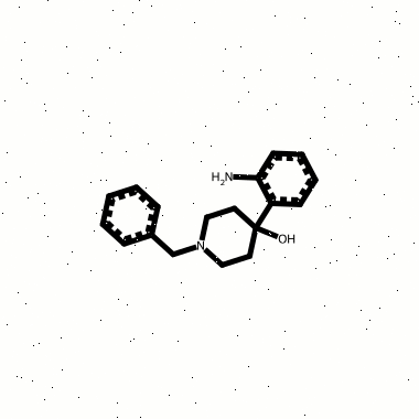 Nc1ccccc1C1(O)CCN(Cc2ccccc2)CC1